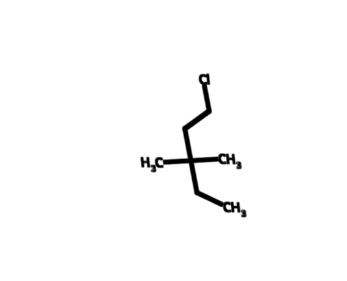 CCC(C)(C)CCCl